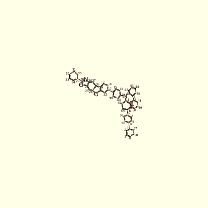 c1ccc(-c2ccc(-c3ccc(N(c4ccc(-c5ccc6c(c5)oc5cc7oc(-c8ccccc8)nc7cc56)cc4)c4ccccc4-c4ccccc4)cc3)cc2)cc1